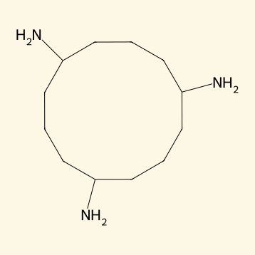 NC1CCCC(N)CCCC(N)CCC1